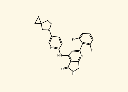 O=C1NCc2nc(-c3c(F)cccc3F)cc(Nc3ccc(N4CCC5(CC5)C4)cn3)c21